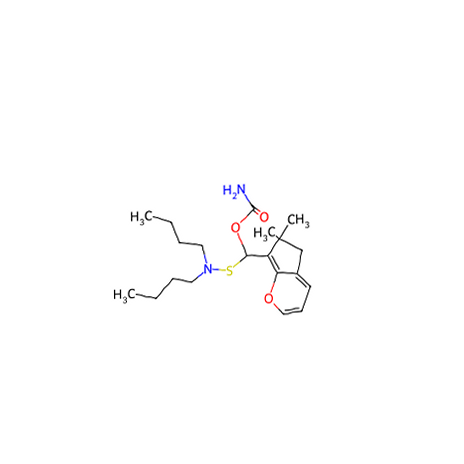 CCCCN(CCCC)SC(OC(N)=O)C1=C2OC=CC=C2CC1(C)C